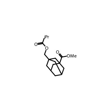 COC(=O)C12CC3CC(CC(COC(=O)C(C)C)(C3)C1)C2